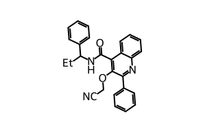 CCC(NC(=O)c1c(OCC#N)c(-c2ccccc2)nc2ccccc12)c1ccccc1